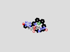 COC(=O)C1CN(Cc2cc(=O)n3ccc(-c4cccc(-c5cccc(-c6ccc(CNC[C@H]7CCC(=O)N7)c(OC)n6)c5Cl)c4Cl)cc3n2)C1